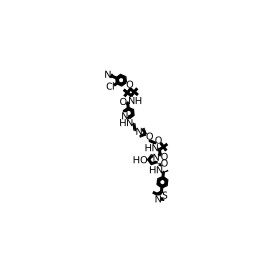 Cc1ncsc1-c1ccc([C@H](C)NC(=O)[C@@H]2C[C@@H](O)CN2C(=O)C(NC(=O)COC2CN(CCNc3ccc(C(=O)NC4C(C)(C)C(Oc5ccc(C#N)c(Cl)c5)C4(C)C)cn3)C2)C(C)(C)C)cc1